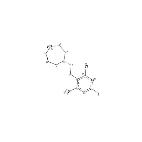 Cc1nc(N)c(CC[C@@H]2CCCNCC2)c(Cl)n1